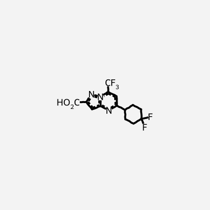 O=C(O)c1cc2nc(C3CCC(F)(F)CC3)cc(C(F)(F)F)n2n1